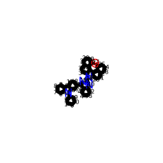 c1ccc(-n2c3ccccc3c3ccc(-c4nc(-n5c6ccc7cccc8oc9cccc%10ccc5c(c%109)c6c78)nc5ccccc45)cc32)cc1